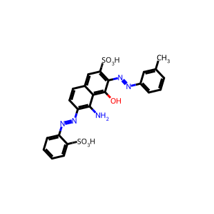 Cc1cccc(N=Nc2c(S(=O)(=O)O)cc3ccc(N=Nc4ccccc4S(=O)(=O)O)c(N)c3c2O)c1